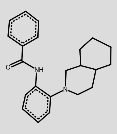 O=C(Nc1ccccc1N1CCC2CCCCC2C1)c1ccccc1